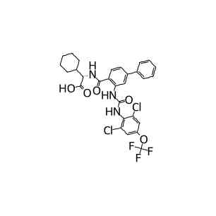 O=C(Nc1cc(-c2ccccc2)ccc1C(=O)N[C@H](C(=O)O)C1CCCCC1)Nc1c(Cl)cc(OC(F)(F)F)cc1Cl